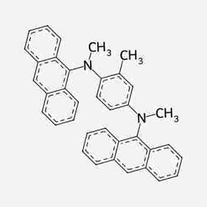 Cc1cc(N(C)c2c3ccccc3cc3ccccc23)ccc1N(C)c1c2ccccc2cc2ccccc12